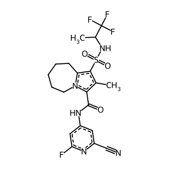 Cc1c(S(=O)(=O)NC(C)C(F)(F)F)c2n(c1C(=O)Nc1cc(F)nc(C#N)c1)CCCCC2